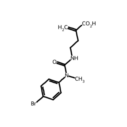 C=C(CCNC(=O)N(C)c1ccc(Br)cc1)C(=O)O